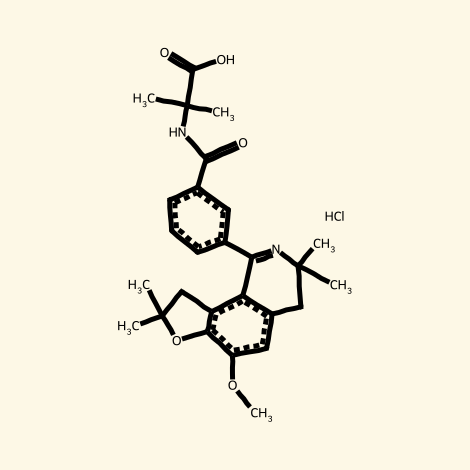 COc1cc2c(c3c1OC(C)(C)C3)C(c1cccc(C(=O)NC(C)(C)C(=O)O)c1)=NC(C)(C)C2.Cl